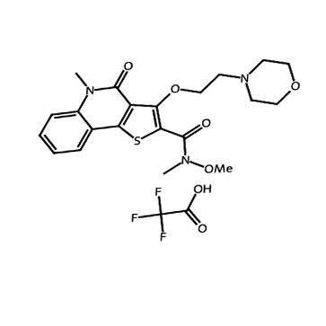 CON(C)C(=O)c1sc2c(c1OCCN1CCOCC1)c(=O)n(C)c1ccccc21.O=C(O)C(F)(F)F